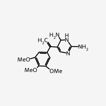 C=C(C1=CN=C(N)NC1N)c1cc(OC)c(OC)c(OC)c1